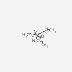 CCOC(=O)C(CC)(COCOC(C)=O)C(=O)OCC